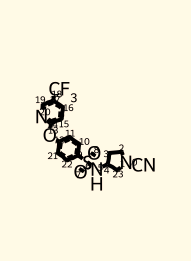 N#CN1CCC(NS(=O)(=O)c2ccc(Oc3ccc(C(F)(F)F)cn3)cc2)C1